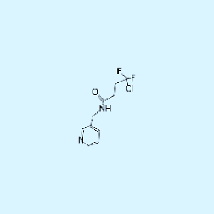 O=C(CCC(F)(F)Cl)NCc1cccnc1